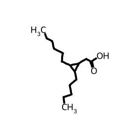 CCCCCCC1C(CCCCC)C1CC(=O)O